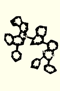 c1ccc(-c2nc3cccc(-c4ccc(-n5c6ccc7ccccc7c6c6c7ccccc7c(-c7ccccc7)cc65)c5ccccc45)c3nc2-c2ccccc2)cc1